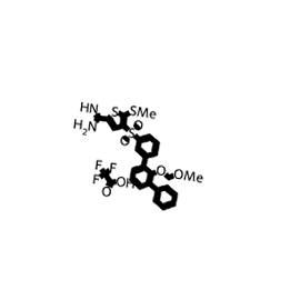 COCOc1c(-c2ccccc2)cccc1-c1cccc(S(=O)(=O)c2cc(C(=N)N)sc2SC)c1.O=C(O)C(F)(F)F